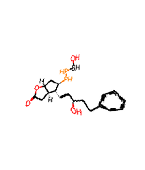 O=C1C[C@@H]2[C@@H](/C=C/[C@H](O)CCc3ccccc3)[C@H](PPBO)C[C@@H]2O1